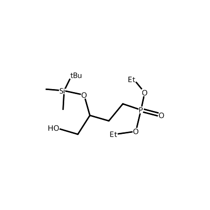 CCOP(=O)(CCC(CO)O[Si](C)(C)C(C)(C)C)OCC